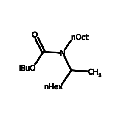 CCCCCCCCN(C(=O)OCC(C)C)C(C)CCCCCC